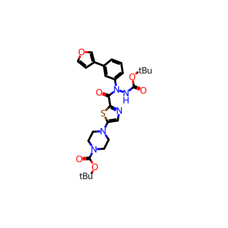 CC(C)(C)OC(=O)NN(C(=O)c1ncc(N2CCN(C(=O)OC(C)(C)C)CC2)s1)c1cccc(-c2ccoc2)c1